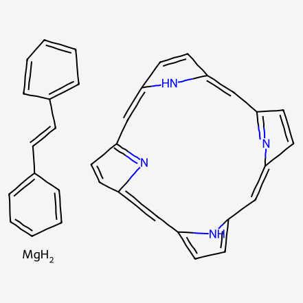 C(=Cc1ccccc1)c1ccccc1.C1=Cc2cc3ccc(cc4nc(cc5ccc(cc1n2)[nH]5)C=C4)[nH]3.[MgH2]